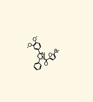 COc1ccc(C2=NN(C(=O)c3ccc(Br)o3)C(c3ccccc3)C2)cc1OC